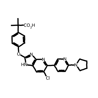 CC(C)(C(=O)O)c1ccc(Oc2nc3nc(-c4ccc(N5CCCC5)nc4)c(Cl)cc3[nH]2)cc1